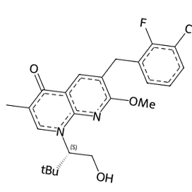 COc1nc2c(cc1Cc1cccc(Cl)c1F)c(=O)c(C)cn2[C@H](CO)C(C)(C)C